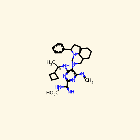 C=Nc1nc(C(=N)NC(=O)O)nc(N[C@H](C)C2CCC2)c1N(CC1CCCCC1)CN1CCCC1c1ccccc1